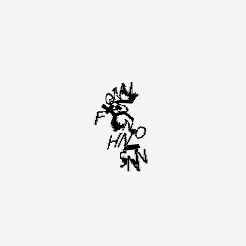 Cn1nccc1S(=O)(=O)C(C)(F)C1CCN(C(=O)Nc2cnns2)CC1